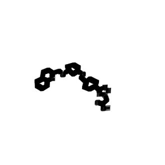 O=C(O)Cn1nnc(-c2ccc(COc3cccc(OCc4ccc5ccccc5n4)c3)cc2)n1